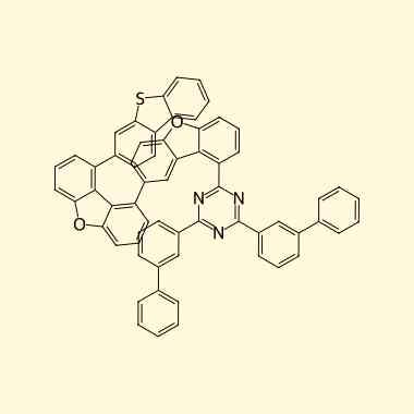 c1ccc(-c2cccc(-c3nc(-c4cccc(-c5ccccc5)c4)nc(-c4cccc5oc6ccc(-c7cccc8oc9cccc(-c%10ccc%11c(c%10)sc%10ccccc%10%11)c9c78)cc6c45)n3)c2)cc1